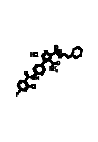 Cl.NC(=O)c1c(C(=O)NCCN2CCCCC2)ncn1-c1ccc(NC(=O)c2ccc(F)cc2Cl)cc1